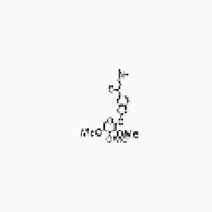 CO[C@@H]1[C@@H](OC)[C@H](C)O[C@@H](OC2Cc3ccc(C(=O)C=CN(C)C)cc3C2)[C@@H]1OC